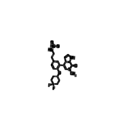 Cn1cc(-c2cc(CCN[SH](=O)=O)ccc2OC2CCC(F)(F)CC2)c2cc[nH]c2c1=O